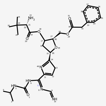 CC(C)NC(=O)N/C(=N/C=N)C1=CCC([C@H]2CC(OC(=O)[C@@H](N)C(C)(C)C)[C@@H](COC(=O)Cc3ccccc3)O2)=N1